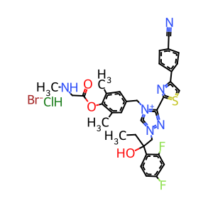 CCC(O)(Cn1c[n+](Cc2cc(C)c(OC(=O)CNC)c(C)c2)c(-c2nc(-c3ccc(C#N)cc3)cs2)n1)c1ccc(F)cc1F.Cl.[Br-]